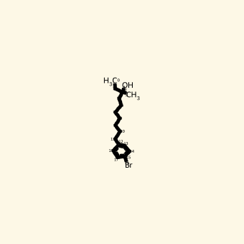 CCC(C)(O)CCCCCCCc1ccc(Br)cc1